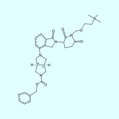 C[Si](C)(C)CCOCN1C(=O)CCC(N2Cc3c(cccc3N3C[C@H]4CN(C(=O)OCc5ccccc5)C[C@H]4C3)C2=O)C1=O